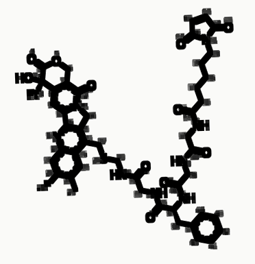 CC[C@@]1(O)C(=O)OCc2c1cc1n(c2=O)Cc2c-1nc1cc(F)c(C)cc1c2CSCNC(=O)CNC(=O)[C@H](Cc1ccccc1)NC(=O)CNC(=O)CNC(=O)CCCCCN1C(=O)C=CC1=O